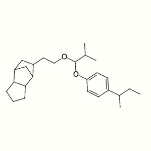 CCC(C)c1ccc(OC(OCCC2CC3CC2C2CCCC32)C(C)C)cc1